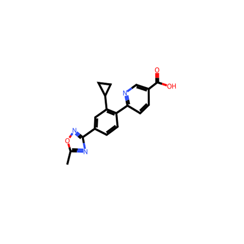 Cc1nc(-c2ccc(-c3ccc(C(=O)O)cn3)c(C3CC3)c2)no1